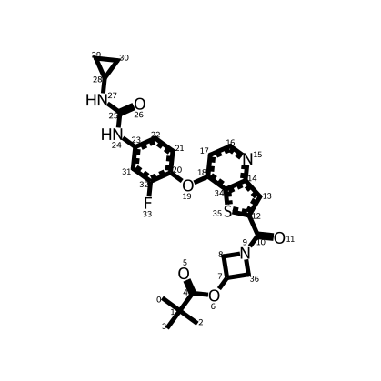 CC(C)(C)C(=O)OC1CN(C(=O)c2cc3nccc(Oc4ccc(NC(=O)NC5CC5)cc4F)c3s2)C1